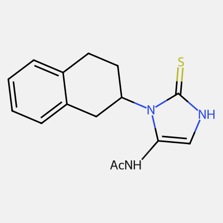 CC(=O)Nc1c[nH]c(=S)n1C1CCc2ccccc2C1